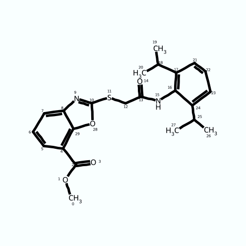 COC(=O)c1cccc2nc(SCC(=O)Nc3c(C(C)C)cccc3C(C)C)oc12